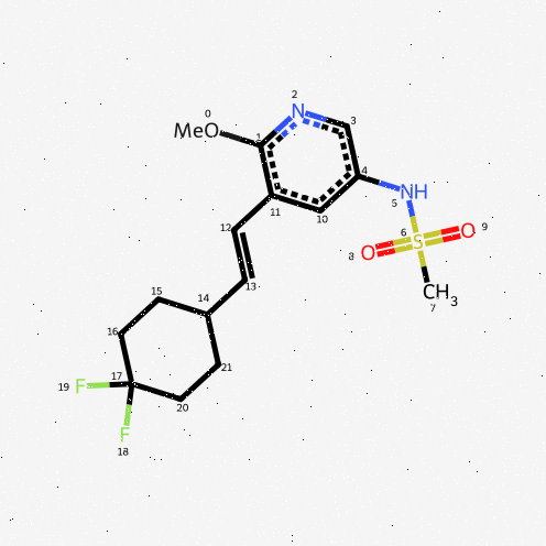 COc1ncc(NS(C)(=O)=O)cc1C=CC1CCC(F)(F)CC1